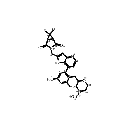 Cc1nc(C(F)(F)F)cc(-c2ccnc3cc(CN4C(=O)C5C(C4=O)C5(C)C)sc23)c1CC1CN(C(=O)O)CCO1